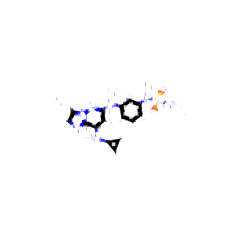 N#Cc1cnc2c(NC3CC3)cc(Nc3cccc(NS(N)(=O)=O)c3)nn12